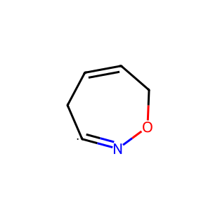 [C]1=NOCC=CC1